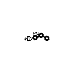 CN1CCN(c2ccc3c(c2)[nH]c2ccc(-c4ccccc4)cc23)CC1